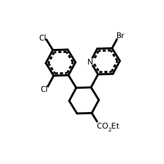 CCOC(=O)C1CCC(c2ccc(Cl)cc2Cl)C(c2ccc(Br)cn2)C1